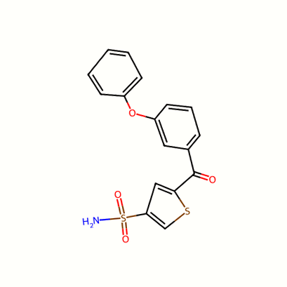 NS(=O)(=O)c1csc(C(=O)c2cccc(Oc3ccccc3)c2)c1